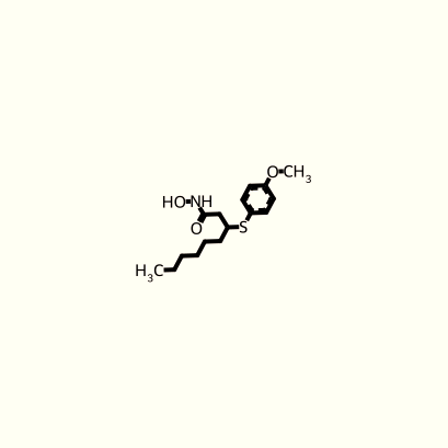 CCCCCCC(CC(=O)NO)Sc1ccc(OC)cc1